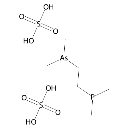 CP(C)CC[As](C)C.O=S(=O)(O)O.O=S(=O)(O)O